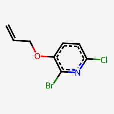 C=CCOc1ccc(Cl)nc1Br